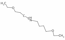 CCOCCCCNCCCCOCC